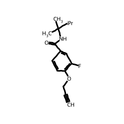 C#CCOc1ccc(C(=O)NC(C)(C)C(C)C)cc1F